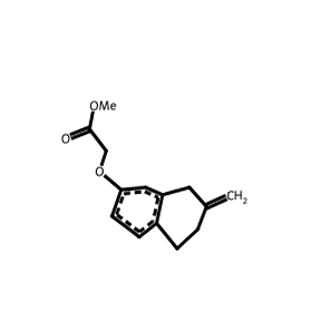 C=C1CCc2ccc(OCC(=O)OC)cc2C1